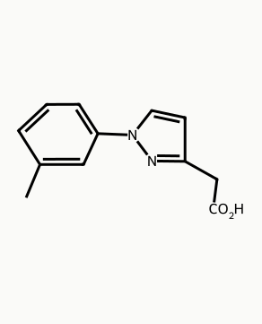 Cc1cccc(-n2ccc(CC(=O)O)n2)c1